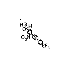 O=C(NO)c1ccc(N2CCN(c3ccc(C(F)(F)F)cc3)CC2)c([N+](=O)[O-])c1